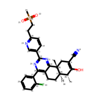 C[C@H]1C(O)=C(C#N)C[C@@]2(C)c3nc(-c4ccc(CCS(C)(=O)=O)nc4)nc(-c4ccccc4F)c3CC[C@H]12